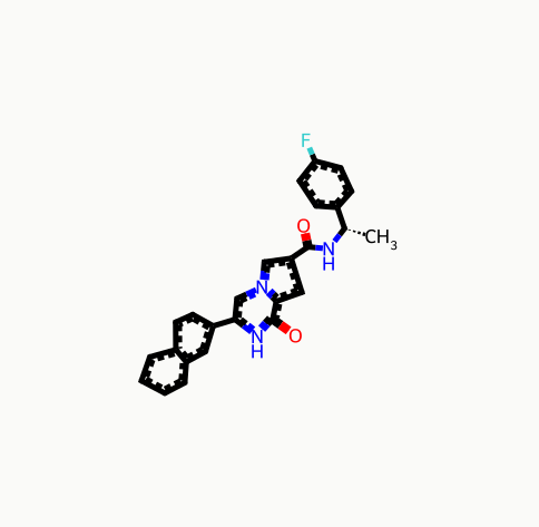 C[C@H](NC(=O)c1cc2c(=O)[nH]c(-c3ccc4ccccc4c3)cn2c1)c1ccc(F)cc1